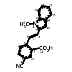 Cn1c(/C=C/c2ccc(C#N)cc2C(=O)O)cc2ccccc21